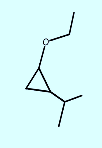 CCOC1CC1C(C)C